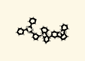 c1ccc(-c2nc(-c3ccccc3)nc(-c3cccc(-n4c5ccccc5c5c(-c6ccc7c(c6)c6cccc8c9ccccc9n7c86)cccc54)c3)n2)cc1